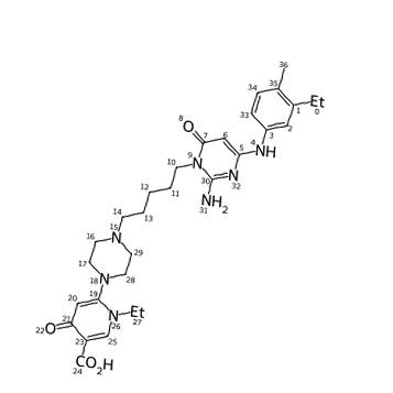 CCc1cc(Nc2cc(=O)n(CCCCCN3CCN(c4cc(=O)c(C(=O)O)cn4CC)CC3)c(N)n2)ccc1C